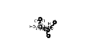 O=C(O)C[C@H](NC(=O)Cn1c(Cc2ccccc2)ccc(NC(=O)CCc2ccccc2)c1=O)C(=O)c1ncc(-c2c(Cl)cccc2Cl)s1